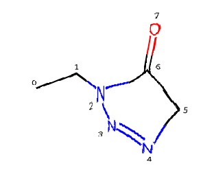 CCN1N=NCC1=O